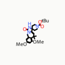 COc1cc2c(c(OC)c1)C(C)(C)C=C1N(C2)C(=O)NC12CCN(C(=O)OC(C)(C)C)CC2